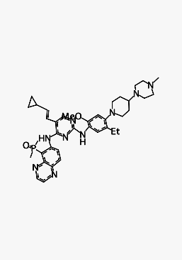 CCc1cc(Nc2ncc(/C=C/C3CC3)c(Nc3ccc4nccnc4c3P(C)(C)=O)n2)c(OC)cc1N1CCC(N2CCN(C)CC2)CC1